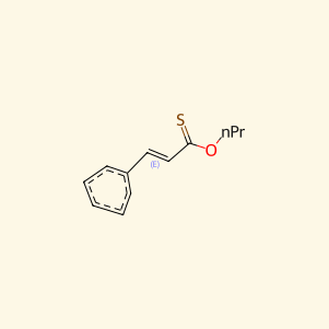 [CH2]CCOC(=S)/C=C/c1ccccc1